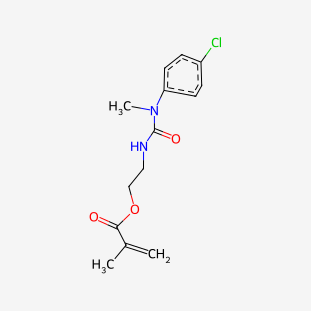 C=C(C)C(=O)OCCNC(=O)N(C)c1ccc(Cl)cc1